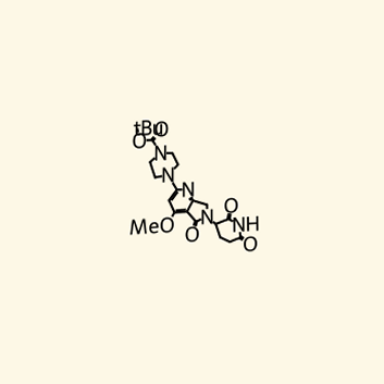 COc1cc(N2CCN(C(=O)OC(C)(C)C)CC2)nc2c1C(=O)N(C1CCC(=O)NC1=O)C2